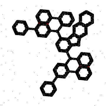 c1ccc(-c2ccc(N(c3ccccc3-c3ccccc3)c3ccc(N(c4ccccc4)c4ccc(-c5ccccc5)cc4-c4ccccc4)c4oc5cc6ccccc6cc5c34)cc2)cc1